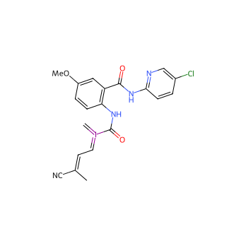 C=I(=C\C=C(/C)C#N)/C(=O)Nc1ccc(OC)cc1C(=O)Nc1ccc(Cl)cn1